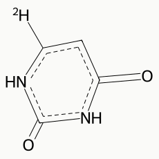 [2H]c1cc(=O)[nH]c(=O)[nH]1